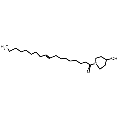 CCCCCCCCC=CCCCCCCCC(=O)N1CCC(O)CC1